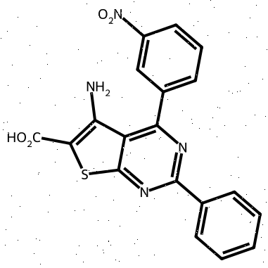 Nc1c(C(=O)O)sc2nc(-c3ccccc3)nc(-c3cccc([N+](=O)[O-])c3)c12